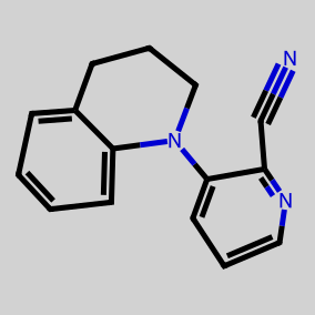 N#Cc1ncccc1N1CCCc2ccccc21